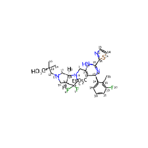 CCOC(=O)C1=C(CN2CC(F)(F)[C@H]3CN(CC(C)(C)C(=O)O)C[C@H]32)NC(c2nccs2)=N[C@H]1c1cccc(F)c1C